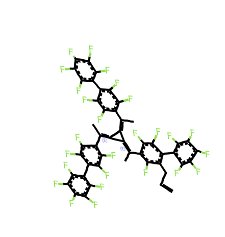 C=CCc1c(F)c(/C(C)=C2\C(=C(C)c3c(F)c(F)c(-c4c(F)c(F)c(F)c(F)c4F)c(F)c3F)\C2=C(/C)c2c(F)c(F)c(-c3c(F)c(F)c(F)c(F)c3F)c(F)c2F)c(F)c(F)c1-c1c(F)c(F)c(F)c(F)c1F